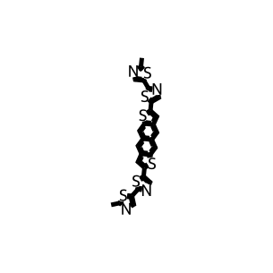 Cc1ncc(-c2ncc(-c3cc4cc5cc6sc(-c7cnc(-c8cnc(C)s8)s7)cc6cc5cc4s3)s2)s1